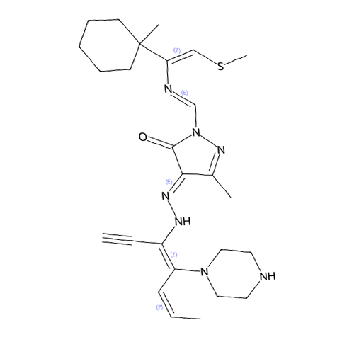 C#C/C(N/N=C1/C(=O)N(/C=N/C(=C\SC)C2(C)CCCCC2)N=C1C)=C(\C=C/C)N1CCNCC1